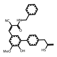 C=C(S)Cc1ccc(-c2cc(C=C(C#N)C(=O)NCc3ccccc3)cc(OC)c2O)cc1